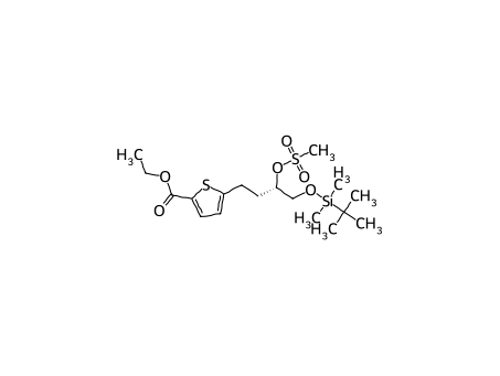 CCOC(=O)c1ccc(CC[C@@H](CO[Si](C)(C)C(C)(C)C)OS(C)(=O)=O)s1